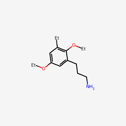 CCOc1cc(CC)c(OCC)c(CCCN)c1